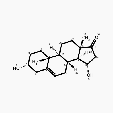 C[C@]12CC[C@@H](O)CC1=CC[C@H]1[C@@H]3[C@@H](O)CC(=O)[C@@]3(C)CC[C@@H]12